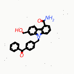 NC(=O)c1cccc2c1c1[c]cc(CO)cc1n2Cc1ccc(C(=O)c2ccccc2)cc1